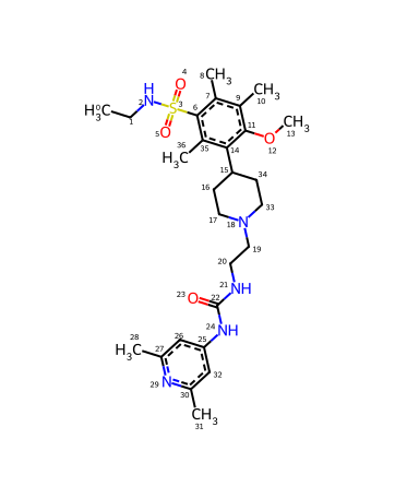 CCNS(=O)(=O)c1c(C)c(C)c(OC)c(C2CCN(CCNC(=O)Nc3cc(C)nc(C)c3)CC2)c1C